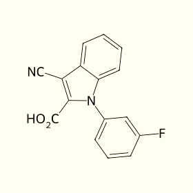 N#Cc1c(C(=O)O)n(-c2cccc(F)c2)c2ccccc12